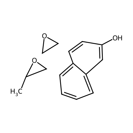 C1CO1.CC1CO1.Oc1ccc2ccccc2c1